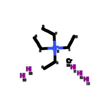 CC[N+](CC)(CC)CC.I.I.I.I.I.[Cr]